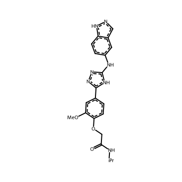 COc1cc(-c2nnc(Nc3ccc4[nH]ncc4c3)[nH]2)ccc1OCC(=O)NC(C)C